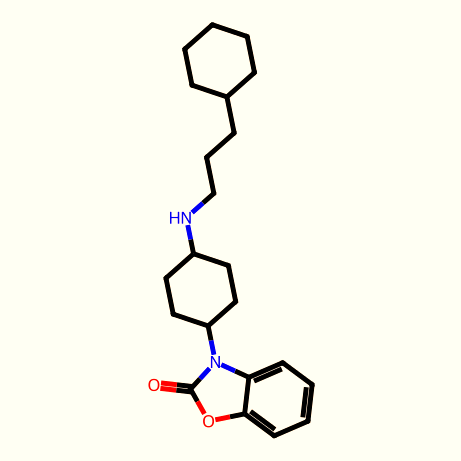 O=c1oc2ccccc2n1C1CCC(NCCCC2CCCCC2)CC1